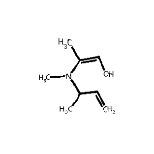 C=CC(C)N(C)/C(C)=C\O